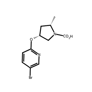 C[C@H]1C[C@@H](Oc2ccc(Br)cn2)CN1C(=O)O